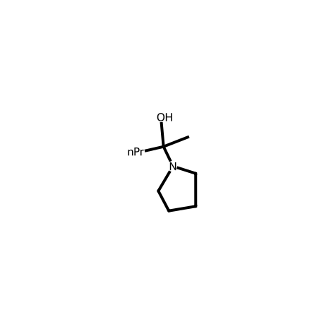 CCCC(C)(O)N1CCCC1